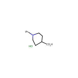 CC(C)N1CCC(C(=O)O)CC1.Cl